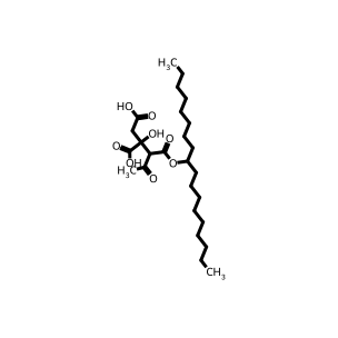 CCCCCCCCCC(CCCCCCCC)OC(=O)C(C(C)=O)C(O)(CC(=O)O)C(=O)O